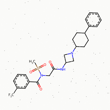 CS(=O)(=O)N(CC(=O)NC1CN(C2CCC(c3ccccc3)CC2)C1)C(=O)c1cccc(C(F)(F)F)c1